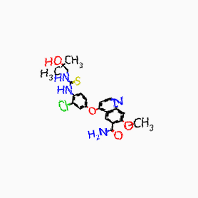 COc1cc2nccc(Oc3ccc(NC(=S)NCC(C)(C)O)c(Cl)c3)c2cc1C(N)=O